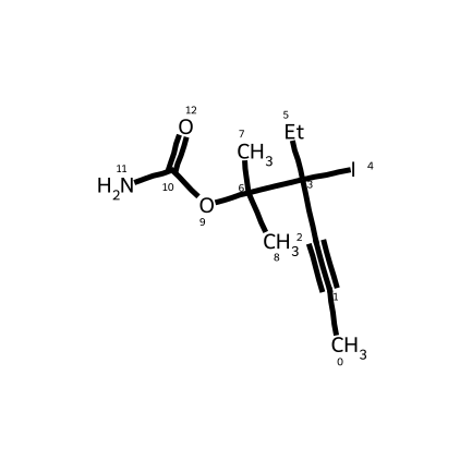 CC#CC(I)(CC)C(C)(C)OC(N)=O